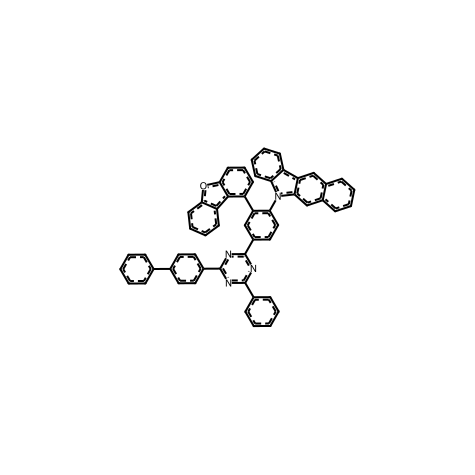 c1ccc(-c2ccc(-c3nc(-c4ccccc4)nc(-c4ccc(-n5c6ccccc6c6cc7ccccc7cc65)c(-c5cccc6oc7ccccc7c56)c4)n3)cc2)cc1